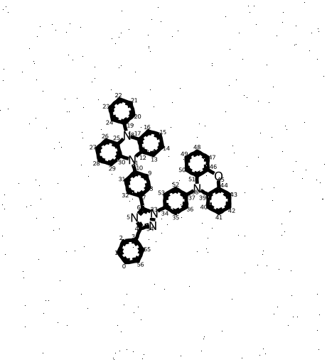 c1ccc(-c2nc(-c3ccc(N4c5ccccc5N(c5ccccc5)c5ccccc54)cc3)n(-c3ccc(N4c5ccccc5Oc5ccccc54)cc3)n2)cc1